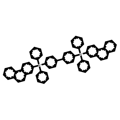 c1ccc([N+](c2ccccc2)(c2ccc(-c3ccc([N+](c4ccccc4)(c4ccccc4)c4ccc5c(ccc6ccccc65)c4)cc3)cc2)c2ccc3c(ccc4ccccc43)c2)cc1